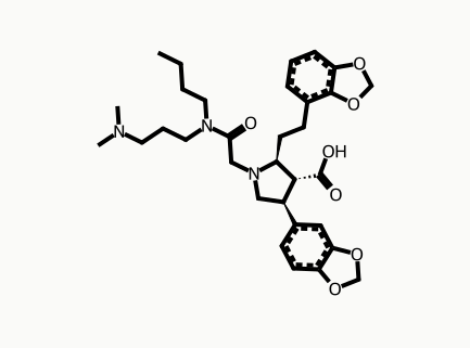 CCCCN(CCCN(C)C)C(=O)CN1C[C@H](c2ccc3c(c2)OCO3)[C@@H](C(=O)O)[C@@H]1CCc1cccc2c1OCO2